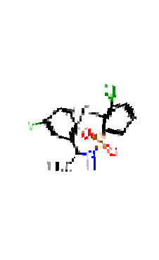 Cc1c(Cl)cccc1S(=O)(=O)N[C@@H](C)c1cccc(Br)c1